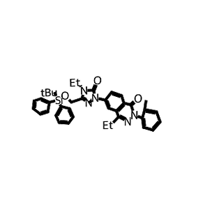 CCc1nn(-c2ccccc2C)c(=O)c2ccc(-n3nc(CO[Si](c4ccccc4)(c4ccccc4)C(C)(C)C)n(CC)c3=O)cc12